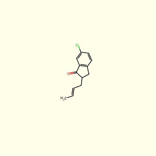 C/C=C/CC1Cc2ccc(Cl)cc2C1=O